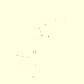 CCC(C)c1ccc(S(=O)(=O)O/N=C(/c2ccccc2)C(F)(F)F)cc1